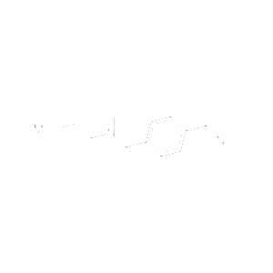 CSCCNCc1ccc(CN)cc1